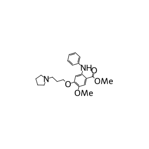 COC(=O)c1cc(OC)c(OCCCN2CCCC2)cc1Nc1ccccc1